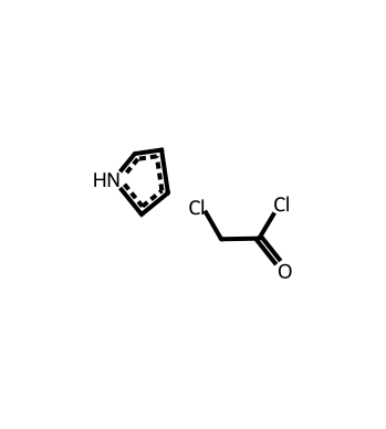 O=C(Cl)CCl.c1cc[nH]c1